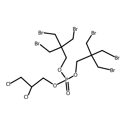 O=P(OCC(Cl)CCl)(OCC(CBr)(CBr)CBr)OCC(CBr)(CBr)CBr